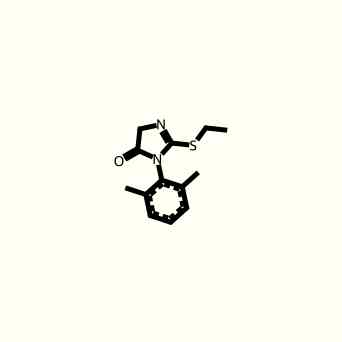 CCSC1=NCC(=O)N1c1c(C)cccc1C